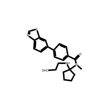 CN(C(=O)c1ccc(-c2ccc3ncsc3c2)cc1)C1(NCCC=O)CCCC1